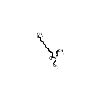 C=CCN(CC=C)C(=O)CCCCCCCCCCC